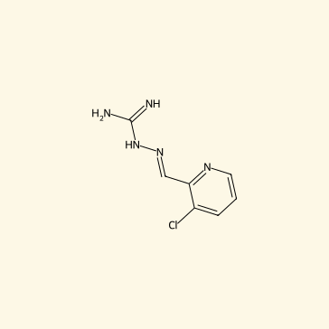 N=C(N)N/N=C/c1ncccc1Cl